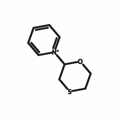 c1cc[n+](C2CSCCO2)cc1